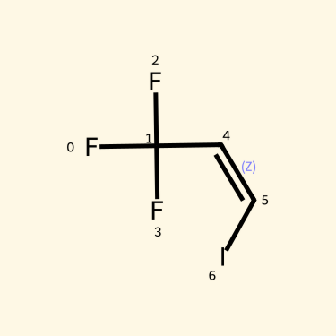 FC(F)(F)/C=C\I